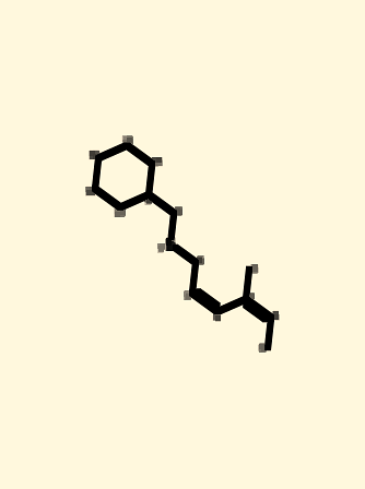 C/C=C(C)\C=C/CSCC1CCCCC1